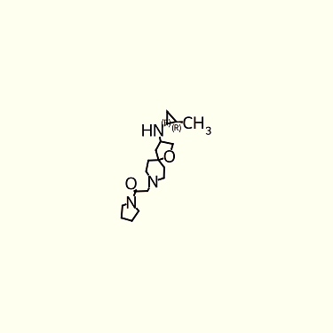 C[C@@H]1C[C@H]1NC1COC2(CCN(CC(=O)N3CCCC3)CC2)C1